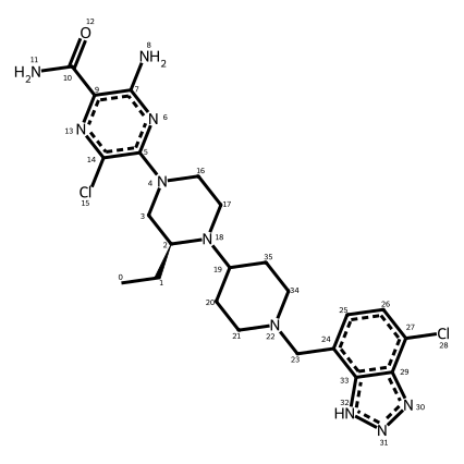 CC[C@H]1CN(c2nc(N)c(C(N)=O)nc2Cl)CCN1C1CCN(Cc2ccc(Cl)c3nn[nH]c23)CC1